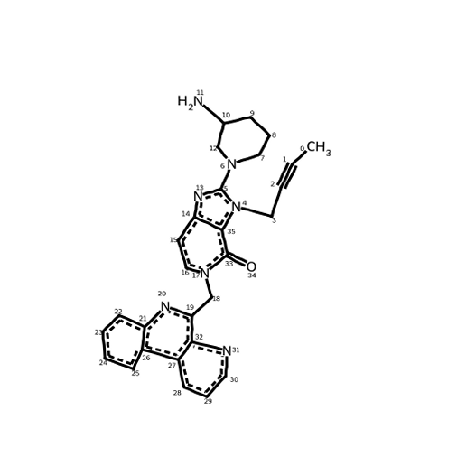 CC#CCn1c(N2CCCC(N)C2)nc2ccn(Cc3nc4ccccc4c4cccnc34)c(=O)c21